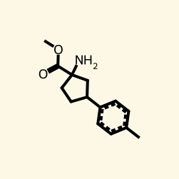 COC(=O)C1(N)CCC(c2ccc(C)cc2)C1